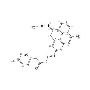 CN(CCOc1cccc(C/C(=N\O)c2cc(C(=O)O)ccn2)c1)Cc1ccc(F)cc1.Cl